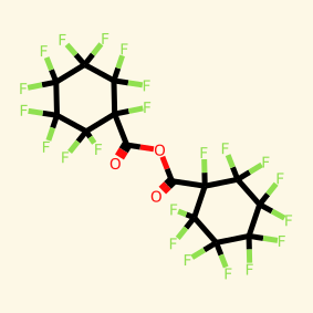 O=C(OC(=O)C1(F)C(F)(F)C(F)(F)C(F)(F)C(F)(F)C1(F)F)C1(F)C(F)(F)C(F)(F)C(F)(F)C(F)(F)C1(F)F